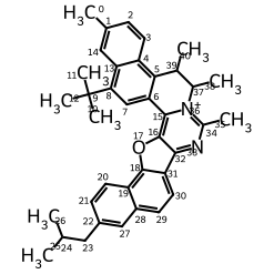 Cc1ccc2c3c(cc(C(C)(C)C)c2c1)-c1c2oc4c5ccc(CC(C)C)cc5ccc4c2nc(C)[n+]1C(C)C3C